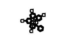 O=C(OP(c1ccc(Cl)cc1)(c1ccc(Cl)cc1)(c1ccc(Cl)cc1)c1ccc(Cl)cc1)c1ccccc1